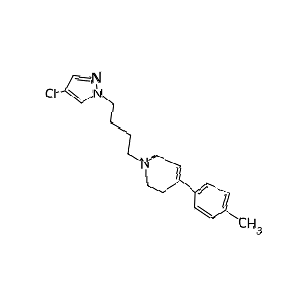 Cc1ccc(C2=CCN(CCCCn3cc(Cl)cn3)CC2)cc1